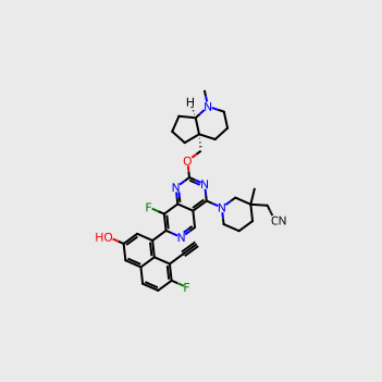 C#Cc1c(F)ccc2cc(O)cc(-c3ncc4c(N5CCCC(C)(CC#N)C5)nc(OC[C@]56CCC[C@H]5N(C)CCC6)nc4c3F)c12